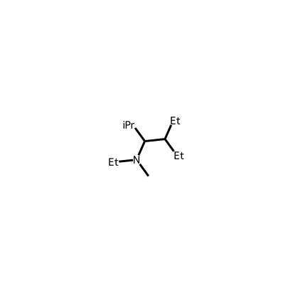 CCC(CC)C(C(C)C)N(C)CC